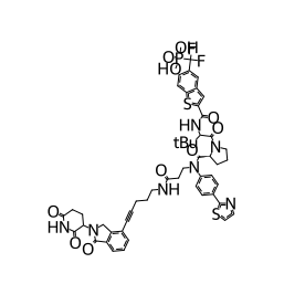 CC(C)(C)C(NC(=O)c1cc2cc(C(F)(F)P(=O)(O)O)ccc2s1)C(=O)N1CCC[C@H]1C(=O)N(CCC(=O)NCCCC#Cc1cccc2c1CN(C1CCC(=O)NC1=O)C2=O)c1ccc(-c2nccs2)cc1